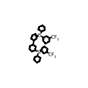 FC(F)(F)c1cccc([SH](c2ccccc2)c2cccc(-c3cccc([SH](c4ccccc4)c4cccc(C(F)(F)F)c4)c3)c2)c1